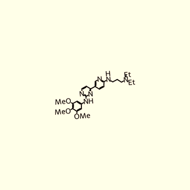 CCN(CC)CCCNc1ccc(-c2ccnc(Nc3cc(OC)c(OC)c(OC)c3)n2)cn1